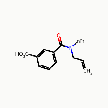 C=CCN(CCC)C(=O)c1cccc(C(=O)O)c1